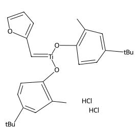 Cc1cc(C(C)(C)C)ccc1[O][Ti](=[CH]c1ccco1)[O]c1ccc(C(C)(C)C)cc1C.Cl.Cl